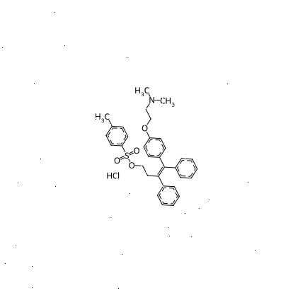 Cc1ccc(S(=O)(=O)OCCC(=C(c2ccccc2)c2ccc(OCCN(C)C)cc2)c2ccccc2)cc1.Cl